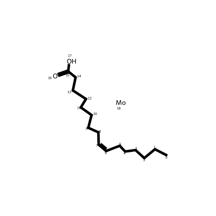 CCCCCC/C=C\CCCCCCCC(=O)O.[Mo]